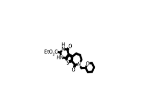 CCOC(=O)C1NC(=O)c2c(sc3c2CCCN(CC2CCCCO2)C3=O)N1